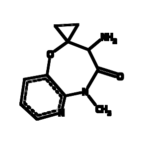 CN1C(=O)C(N)C2(CC2)Oc2cccnc21